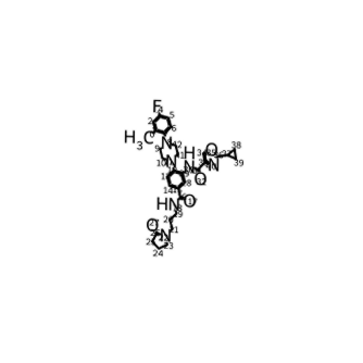 Cc1cc(F)ccc1N1CCN(c2ccc(C(=O)NCCCN3CCCC3=O)cc2NC(=O)c2coc(C3CC3)n2)CC1